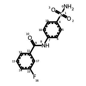 NS(=O)(=O)c1ccc(NC(=O)c2cccc(F)c2)cc1